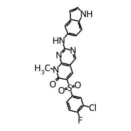 Cn1c(=O)c(S(=O)(=O)c2ccc(F)c(Cl)c2)cc2cnc(Nc3ccc4[nH]ccc4c3)nc21